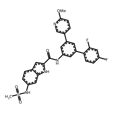 COc1ccc(-c2cc(NC(=O)c3cc4ccc(NS(C)(=O)=O)cc4[nH]3)cc(-c3ccc(F)cc3F)c2)cn1